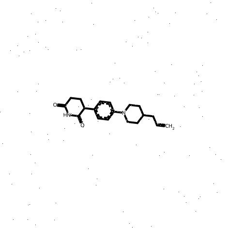 C=CCC1CCN(c2ccc(C3CCC(=O)NC3=O)cc2)CC1